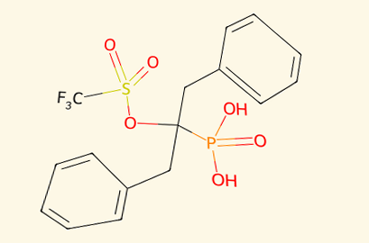 O=P(O)(O)C(Cc1ccccc1)(Cc1ccccc1)OS(=O)(=O)C(F)(F)F